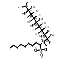 CCCCCCCCC([Si](Cl)(Cl)Cl)[Si](C)(C)C(F)(F)C(F)(F)C(F)(F)C(F)(F)C(F)(F)C(F)(F)C(F)(F)C(F)(F)C(C)F